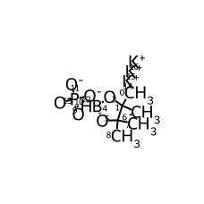 CC1(C)OBOC1(C)C.O=P([O-])([O-])[O-].[K+].[K+].[K+]